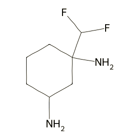 NC1CCCC(N)(C(F)F)C1